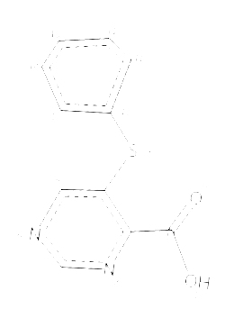 O=C(O)c1ncncc1Sc1ccccc1